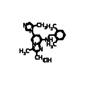 Cc1cccc(C)c1CNc1cc(-n2cncc2C)cn2c(C)c(C)nc12.Cl